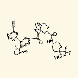 N#Cc1cc(-c2cc(C(=O)C3CC34CC(C(=O)NC3CCC(O)(C(F)(F)F)CC3)CCN4)nn2C2NCCO2)ncn1